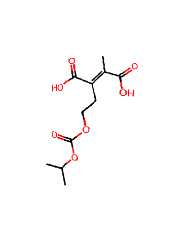 CC(C(=O)O)=C(CCOC(=O)OC(C)C)C(=O)O